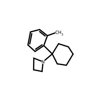 Cc1ccccc1C1(N2CCC2)CCCCC1